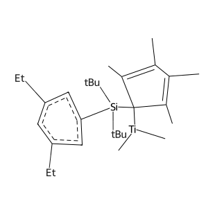 CCc1cc(CC)cc([Si](C(C)(C)C)(C(C)(C)C)[C]2([Ti]([CH3])[CH3])C(C)=C(C)C(C)=C2C)c1